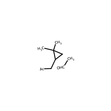 CC(=O)CC1CC1(C)C.CC=O